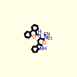 CCN(C#N)C(=O)C(Cc1c[nH]c2ccccc12)NC(=O)c1ccccc1-c1ccccc1